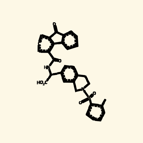 Cc1ccccc1S(=O)(=O)N1CCc2ccc(C(NC(=O)c3cccc4c3-c3ccccc3C4=O)C(=O)O)cc2C1